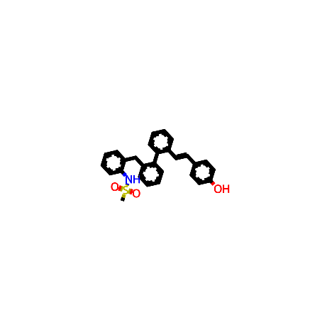 CS(=O)(=O)Nc1ccccc1Cc1ccccc1-c1ccccc1/C=C/c1ccc(O)cc1